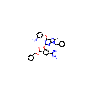 Cc1nc2c(Oc3cccc(N)c3)nc(Oc3cc(C(=N)N)ccc3C(=O)OCc3ccccc3)nc2n1Cc1ccccc1